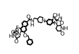 Cn1c(=O)n(C2CCC(=O)NC2=O)c2ccc(N3CCC(CNC(=O)c4ccc5c(F)c(N6CC(=O)NS6(=O)=O)c(OCc6ccccc6)cc5c4)CC3)cc21